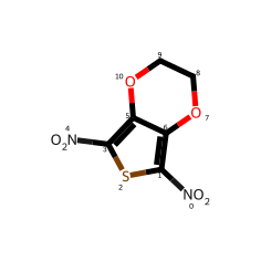 O=[N+]([O-])c1sc([N+](=O)[O-])c2c1OCCO2